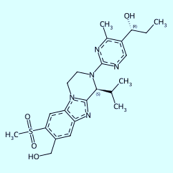 CC[C@@H](O)c1cnc(N2CCn3c(nc4cc(CO)c(S(C)(=O)=O)cc43)[C@@H]2C(C)C)nc1C